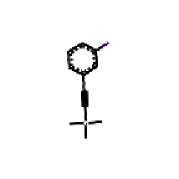 C[Si](C)(C)C#Cc1cccc(I)c1